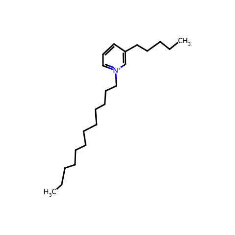 CCCCCCCCCCCC[n+]1cccc(CCCCC)c1